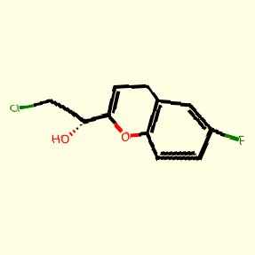 O[C@H](CCl)C1=CCc2cc(F)ccc2O1